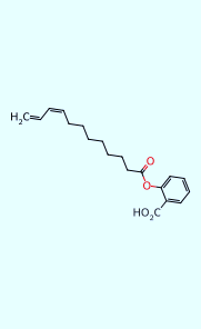 C=C/C=C\CCCCCCCC(=O)Oc1ccccc1C(=O)O